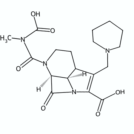 CN(C(=O)O)C(=O)N1CCC2C(CN3CCCCC3)=C(C(=O)O)N3C(=O)[C@@H]1[C@@H]23